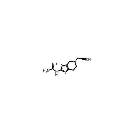 C#CCN1CCc2nc(NC(=N)N)sc2C1